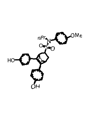 CCCN(c1ccc(OC)cc1)S(=O)(=O)C1CC2OC1C(c1ccc(O)cc1)=C2c1ccc(O)cc1